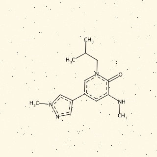 CNc1cc(-c2cnn(C)c2)cn(CC(C)C)c1=O